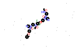 C=CC(=O)Nc1cccc(-n2c(=O)n(-c3ccc(OCc4c(F)cc(N(C(=O)C=C)c5cccc(-n6c(=O)n(-c7ccc(OCc8ccccc8C)cc7)c7cnccc76)c5)cc4F)cc3)c3cnccc32)c1